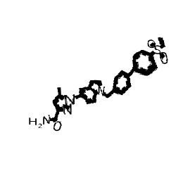 C=CS(=O)(=O)c1ccc(-c2ccc(Cn3ccc4cc(-n5nc(C(N)=O)cc5C)ccc43)cc2)cc1